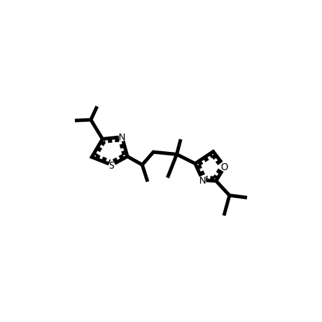 CC(C)c1csc(C(C)CC(C)(C)c2coc(C(C)C)n2)n1